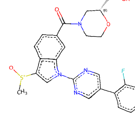 C[S+]([O-])c1cn(-c2ncc(-c3ccccc3F)cn2)c2cc(C(=O)N3CCO[C@@H](CO)C3)ccc12